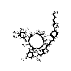 CC[C@H]1OC(=O)[C@H](C)[C@@H](O[C@H]2C[C@@](C)(OC)[C@@H](O)[C@H](C)O2)[C@H](C)[C@@H](O[C@@H]2O[C@H](C)C[C@H](N(C)CCc3cn(CCCCc4ccc(-n5cc(CCCO)nn5)cc4)nn3)[C@H]2O)[C@](C)(O)C[C@@H](C)CN(C)[C@H](C)[C@@H](O)[C@]1(C)O